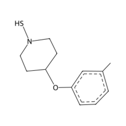 Cc1cccc(OC2CCN(S)CC2)c1